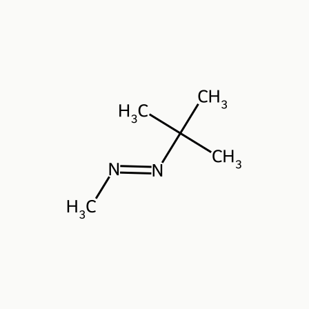 C/N=N/C(C)(C)C